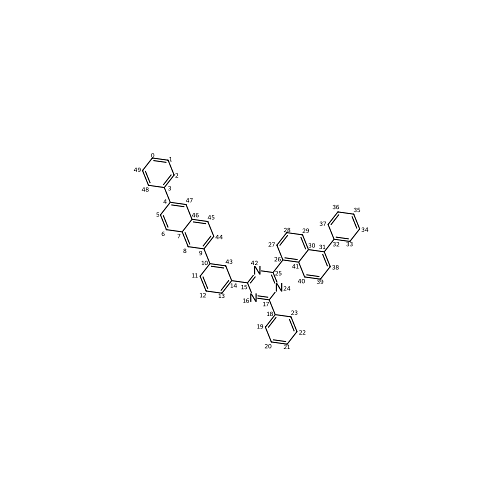 c1ccc(-c2ccc3cc(-c4cccc(-c5nc(-c6ccccc6)nc(-c6cccc7c(-c8ccccc8)cccc67)n5)c4)ccc3c2)cc1